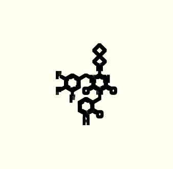 O=c1[nH]cccc1Cn1c(=O)nc(N2CC3(CCC3)C2)n(Cc2cc(F)c(F)c(F)c2)c1=O